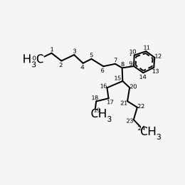 CCCCCCCCC(c1[c]cccc1)C(CCCC)CCCCC